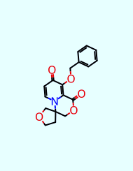 O=C1OCC2(CCOC2)n2ccc(=O)c(OCc3ccccc3)c21